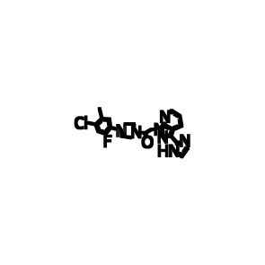 Cc1cc(N2CCN(C(=O)Cn3nc(-c4ncc[nH]4)c4cccnc43)CC2)c(F)cc1Cl